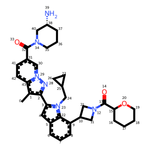 Cc1c(-c2cc3cccc(C4CN(C(=O)C5CCCCO5)C4)c3n2CC2CC2)nn2cc(C(=O)N3CCC[C@@H](N)C3)ccc12